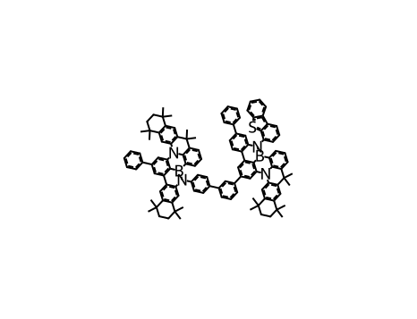 CC1(C)CCC(C)(C)c2cc3c(cc21)-c1cc(-c2ccccc2)cc2c1B(c1cccc4c1N2c1cc2c(cc1C4(C)C)C(C)(C)CCC2(C)C)N3c1ccc(-c2cccc(-c3cc4c5c(c3)N3c6cc7c(cc6C(C)(C)c6cccc(c63)B5N(c3cccc5c3sc3ccccc35)c3cc(-c5ccccc5)ccc3-4)C(C)(C)CCC7(C)C)c2)cc1